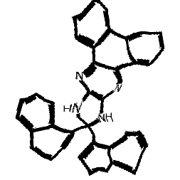 c1ccc2c(C3(c4cccc5ccccc45)Nc4nc5c6ccccc6c6ccccc6c5nc4N3)cccc2c1